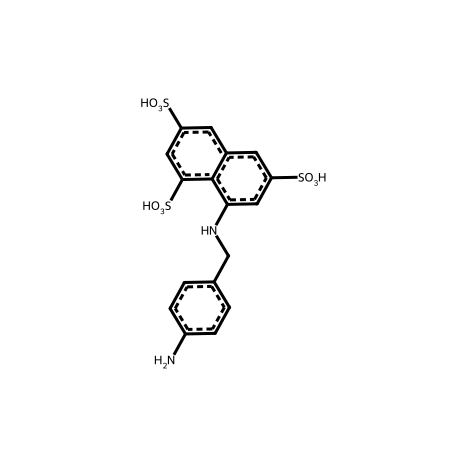 Nc1ccc(CNc2cc(S(=O)(=O)O)cc3cc(S(=O)(=O)O)cc(S(=O)(=O)O)c23)cc1